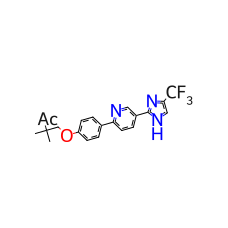 CC(=O)C(C)(C)COc1ccc(-c2ccc(-c3nc(C(F)(F)F)c[nH]3)cn2)cc1